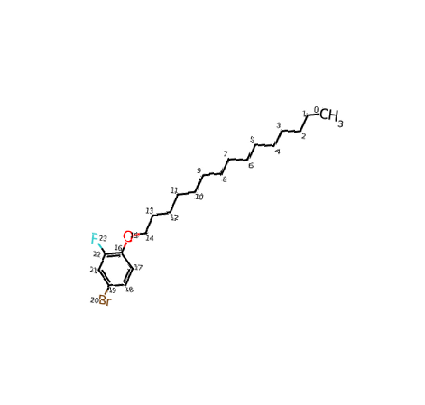 CCCCCCCCCCCCCCCOc1ccc(Br)cc1F